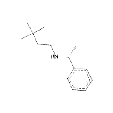 C[C@@H](NCCC(C)(C)C)c1ccccc1